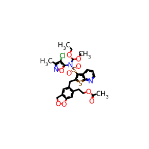 CCOC(OC)N(c1onc(C)c1Cl)S(=O)(=O)c1c(Cc2cc3c(cc2CCOC(C)=O)OOC3)sc2ncccc12